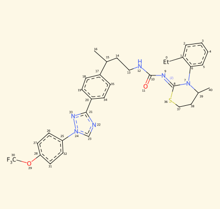 CCc1ccccc1N1/C(=N/C(=O)NCCC(C)c2ccc(-c3ncn(-c4ccc(OC(F)(F)F)cc4)n3)cc2)SCCC1C